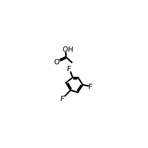 CC(=O)O.Fc1cc(F)cc(F)c1